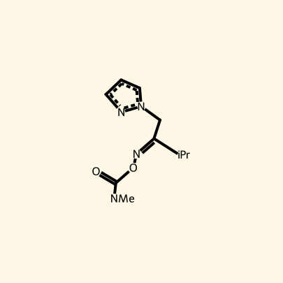 CNC(=O)ON=C(Cn1cccn1)C(C)C